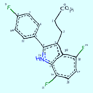 O=C(O)CCc1c(-c2ccc(F)cc2)[nH]c2c(F)ccc(F)c12